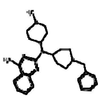 CN1CCN(N(c2nc(N)c3ccccc3n2)C2CCN(Cc3ccccc3)CC2)CC1